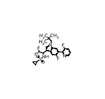 CC(C)(C)Cn1cc([C@H](NS(=O)(=O)C2CC2)C(F)F)c2cc(F)c(-c3ncccc3F)cc21